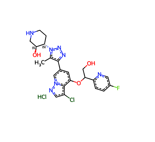 Cc1c(-c2cc(OC(CO)c3ccc(F)cn3)c3c(Cl)cnn3c2)nnn1[C@H]1CCNC[C@@H]1O.Cl